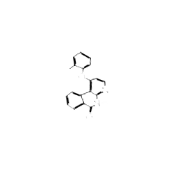 O=c1[nH]c2nccc(Oc3ccccc3F)c2c2ccccc12